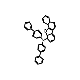 C1=CC2C=Cc3c(oc4c(N(c5ccc(-c6ccccc6)cc5)c5ccc(-c6ccccc6)cc5)cccc34)C2C=C1